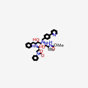 COC(=O)NC(C(=O)NN(Cc1ccc(-c2ccccn2)cc1)C[C@H](O)C(Cc1ccccc1)NC(=O)[C@@H]1CN(c2ccccc2)C(=O)O1)C(C)(C)C